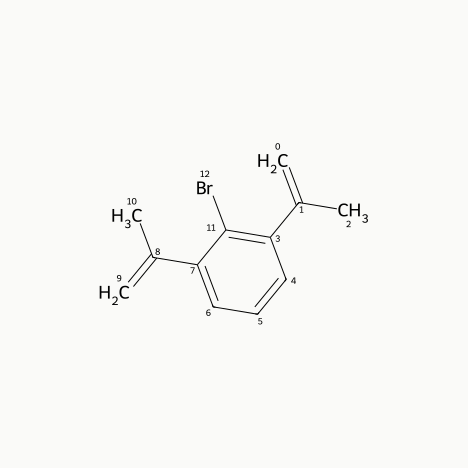 C=C(C)c1cccc(C(=C)C)c1Br